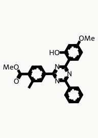 COC(=O)c1ccc(-c2nc(-c3ccccc3)nc(-c3ccc(OC)cc3O)n2)cc1C